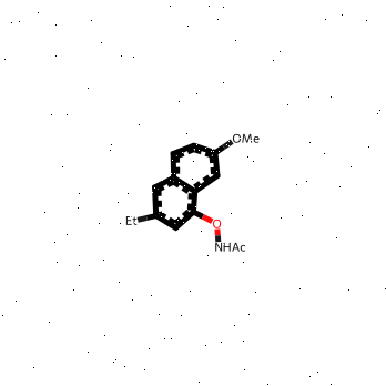 CCc1cc(ONC(C)=O)c2cc(OC)ccc2c1